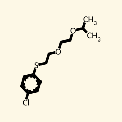 CC(C)OCCOCCSc1ccc(Cl)cc1